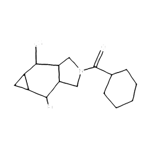 CCC1C2CC2C(C)C2CN(C(=O)C3CCCCC3)CC21